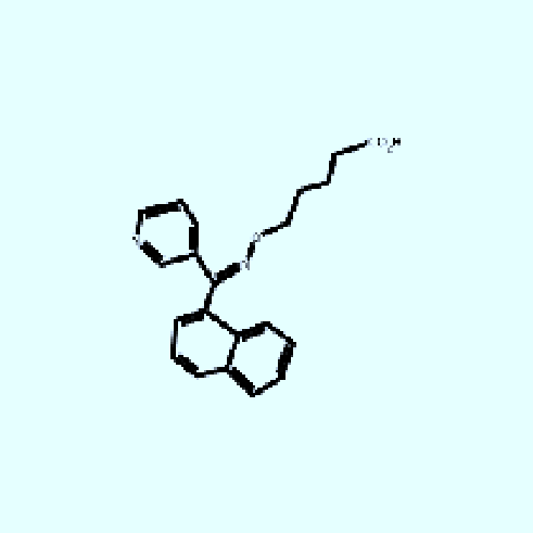 O=C(O)CCCCON=C(c1cccnc1)c1cccc2ccccc12